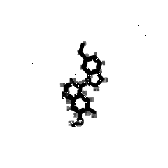 CCc1ccc2c(c1)N(c1ncnc3cc(OC)c(C)cc13)CC2